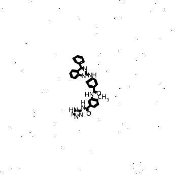 Cc1ccc(C(=O)Nc2nnn[nH]2)cc1NC(=O)c1ccc(Nc2nc(-c3ccccc3)c3ccccc3n2)cc1